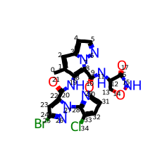 Cc1cc2ccnn2c(C(=O)NC2CONC2=O)c1NC(=O)c1cc(Br)nn1-c1ncccc1Cl